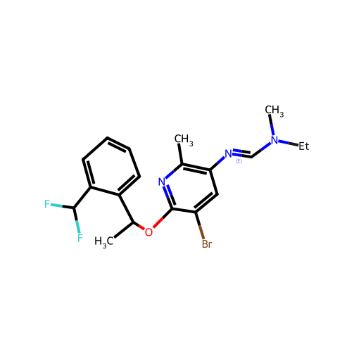 CCN(C)/C=N/c1cc(Br)c(OC(C)c2ccccc2C(F)F)nc1C